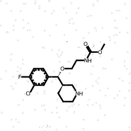 COC(=O)NCCO[C@@H](c1ccc(F)c(Cl)c1)[C@@H]1CCCNC1